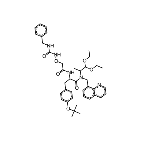 CCOC(OCC)C(C)N(Cc1cccc2cccnc12)C(=O)C(Cc1ccc(OC(C)(C)C)cc1)NC(=O)CONC(=O)NCc1ccccc1